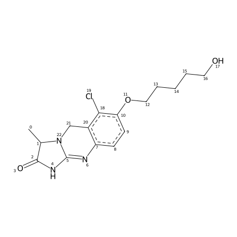 CC1C(=O)NC2=Nc3ccc(OCCCCCO)c(Cl)c3CN21